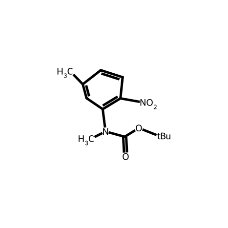 Cc1ccc([N+](=O)[O-])c(N(C)C(=O)OC(C)(C)C)c1